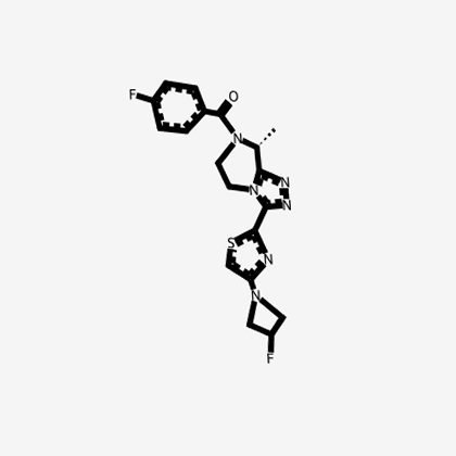 C[C@@H]1c2nnc(-c3nc(N4CC(F)C4)cs3)n2CCN1C(=O)c1ccc(F)cc1